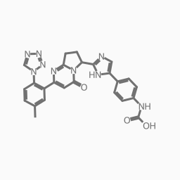 Cc1ccc(-n2cnnn2)c(-c2cc(=O)n3c(n2)CCC3c2ncc(-c3ccc(NC(=O)O)cc3)[nH]2)c1